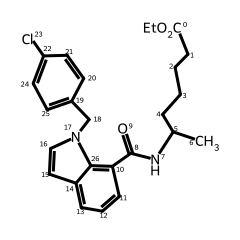 CCOC(=O)CCCCC(C)NC(=O)c1cccc2ccn(Cc3ccc(Cl)cc3)c12